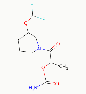 CC(OC(N)=O)C(=O)N1CCCC(OC(F)F)C1